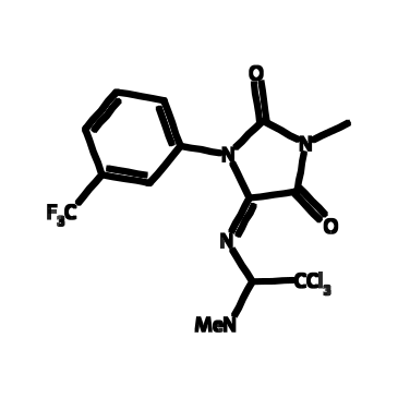 CNC(N=C1C(=O)N(C)C(=O)N1c1cccc(C(F)(F)F)c1)C(Cl)(Cl)Cl